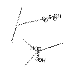 CCCCCCCCCCCCC(CCCCCCCCCCCC)CCCCCCCCCCCCCCCCCOC(=O)CCSCCC(=O)O.CCCCCCCCCCCCCCCCCCC(CCCCCCCCCCCC)(C(=O)O)C(CCCCCCCCCCCC)SCCC(=O)O